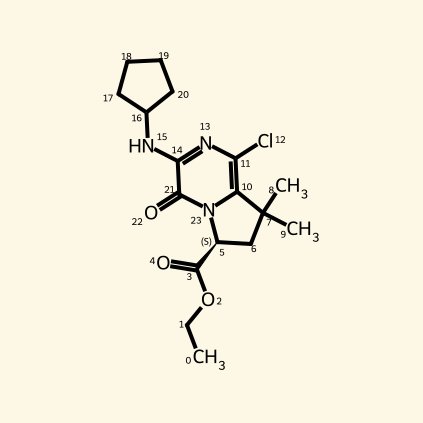 CCOC(=O)[C@@H]1CC(C)(C)c2c(Cl)nc(NC3CCCC3)c(=O)n21